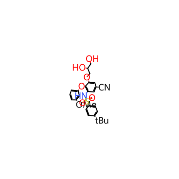 COc1cccc(Oc2c(NS(=O)(=O)c3ccc(C(C)(C)C)cc3)cc(C#N)cc2OCC(O)CO)c1